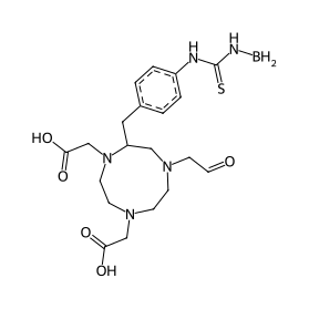 BNC(=S)Nc1ccc(CC2CN(CC=O)CCN(CC(=O)O)CCN2CC(=O)O)cc1